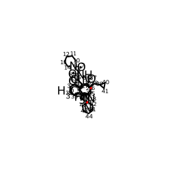 Cc1c(C(=O)NS(=O)(=O)N2CCCCC2)ccc2nc(N3C4CC(NCc5c(-c6c(Cl)cccc6Cl)noc5C5CC5)CC3C4)sc12